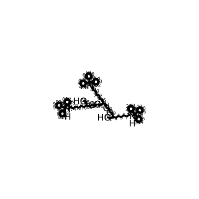 OCC(CCCCCCNC(c1ccccc1)(c1ccccc1)c1ccccc1)COCOCC(CCCCCCCNC(c1ccccc1)(c1ccccc1)c1ccccc1)COCOCC(CO)CCCCCCNC(c1ccccc1)(c1ccccc1)c1ccccc1